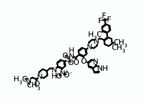 Cc1cc(C(F)(F)F)ccc1C1=C(CN2CCN(c3ccc(C(=O)NS(=O)(=O)c4ccc(NCC5CCN(C(=O)CN(C)C)CC5)c([N+](=O)[O-])c4)c(Oc4cnc5[nH]ccc5c4)c3)CC2)CCC(C)(C)C1